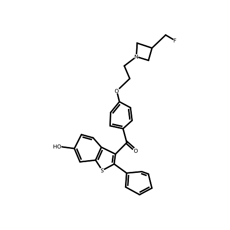 O=C(c1ccc(OCCN2CC(CF)C2)cc1)c1c(-c2ccccc2)sc2cc(O)ccc12